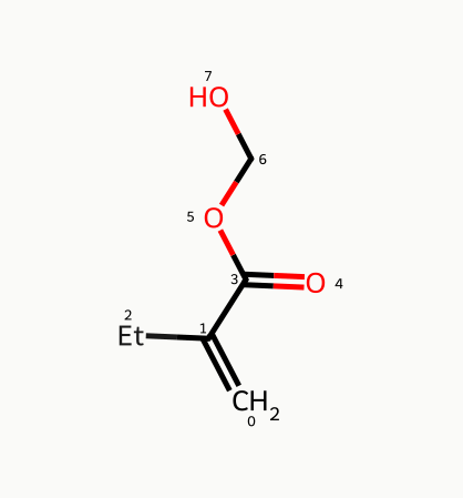 C=C(CC)C(=O)OCO